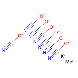 N#C[O-].N#C[O-].N#C[O-].N#C[O-].N#C[O-].N#C[O-].N#C[O-].[K+].[Mo+6]